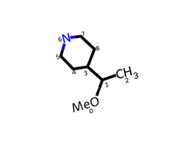 COC(C)C1CC[N]CC1